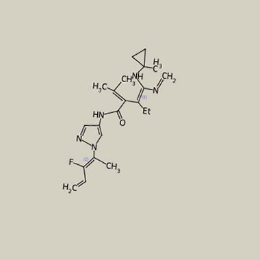 C=C/C(F)=C(\C)n1cc(NC(=O)C(=C(C)C)/C(CC)=C(/N=C)NC2(C)CC2)cn1